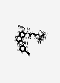 [2H]C([2H])([2H])N(C/C=C/C(=O)Nc1cc2c(Nc3cccc(C#C)c3)c(C#N)cnc2cc1OCC)C([2H])([2H])[2H]